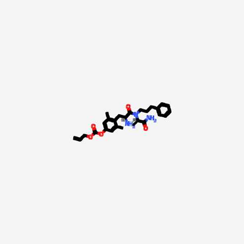 C=CCOC(=O)Oc1cc(C)c(C[C@H](N)C(=O)N(CCCc2ccccc2)[C@H](C)C(N)=O)c(C)c1